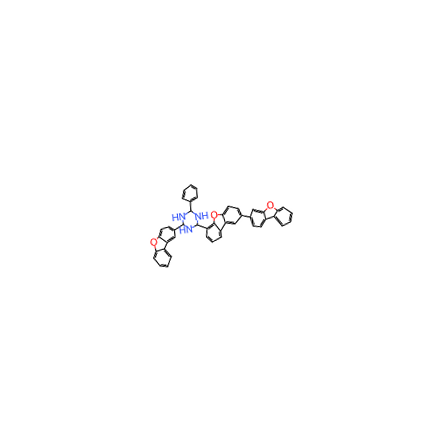 c1ccc(C2NC(c3ccc4oc5ccccc5c4c3)NC(c3cccc4c3oc3ccc(-c5ccc6c(c5)oc5ccccc56)cc34)N2)cc1